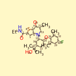 CCNC(=O)c1cc2c(s1)c(=O)c(C)cn2-c1cc(C(C)(C)O)ccc1Oc1c(C)cc(F)cc1C